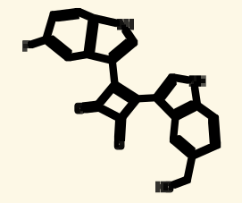 O=c1c(-c2c[nH]c3ccc(F)cc23)c(-c2c[nH]c3ccc(CO)cc23)c1=O